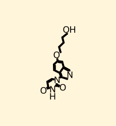 O=c1ccn(-c2cncc3cc(OCCCCCO)ccc23)c(=O)[nH]1